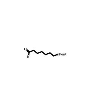 CCCCCCCCCCC[C](=O)[K]